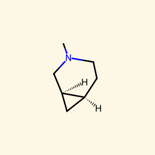 CN1CC[C@H]2C[C@H]2C1